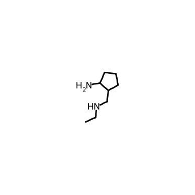 CCNCC1CCCC1N